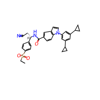 CCS(=O)(=O)c1ccc([C@H](CC#N)NC(=O)c2ccc3c(ccn3-c3cc(C4CC4)cc(C4CC4)c3)c2)cc1